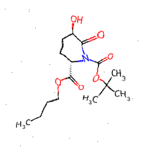 CCCCOC(=O)[C@@H]1CC[C@@H](O)C(=O)N1C(=O)OC(C)(C)C